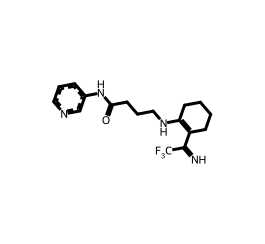 N=C(C1=C(NCCCC(=O)Nc2cccnc2)CCCC1)C(F)(F)F